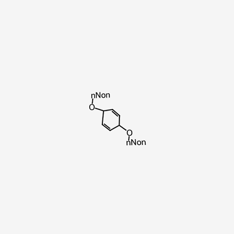 CCCCCCCCCOC1C=CC(OCCCCCCCCC)C=C1